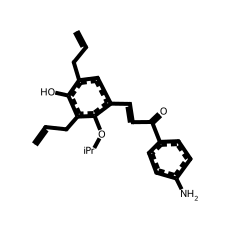 C=CCc1cc(C=CC(=O)c2ccc(N)cc2)c(OC(C)C)c(CC=C)c1O